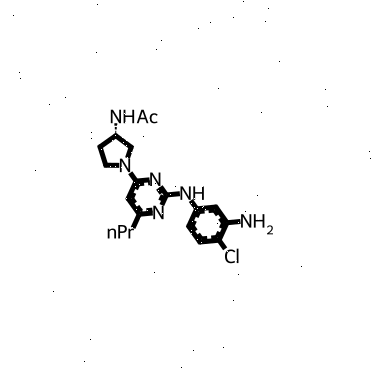 CCCc1cc(N2CC[C@H](NC(C)=O)C2)nc(Nc2ccc(Cl)c(N)c2)n1